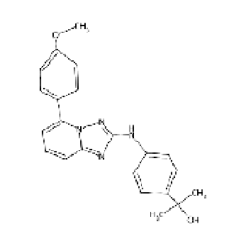 COc1ccc(-c2cccc3nc(Nc4ccc(C(C)(C)O)cc4)nn23)cc1